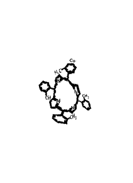 Cc1ccccc1-c1c2nc(c(-c3ccccc3C)c3ccc([nH]3)c(-c3ccccc3C)c3nc(c(-c4ccccc4C)c4ccc1[nH]4)C=C3)C=C2.[Co]